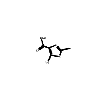 [2H]c1sc(C)nc1C(=O)OC